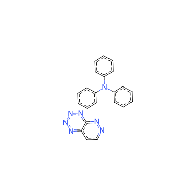 c1cc2nnnnc2nn1.c1ccc(N(c2ccccc2)c2ccccc2)cc1